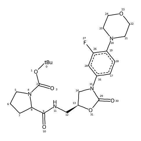 CC(C)(C)OC(=O)N1CCCC1C(=O)NC[C@H]1CN(c2ccc(N3CCOCC3)c(F)c2)C(=O)O1